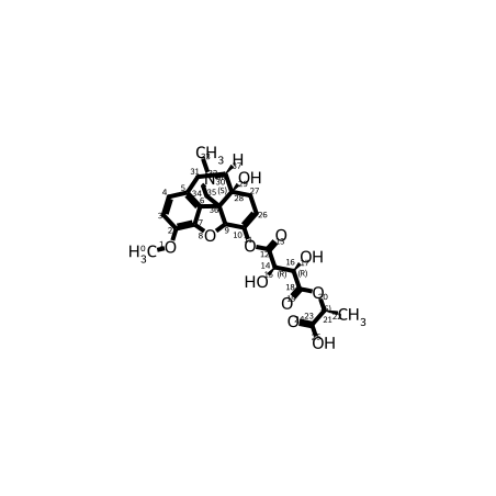 COc1ccc2c3c1OC1C(OC(=O)[C@H](O)[C@@H](O)C(=O)O[C@@H](C)C(=O)O)=CC[C@@]4(O)[C@@H](C2)N(C)CCC314